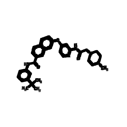 CN1CCN(CC(=O)Nc2cc(Oc3ccc4ccc(C(=O)Nc5cccc(C(C)(C)C)c5)cc4c3)ccn2)CC1